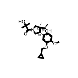 COc1ccc([C@@H]2CN(C(=O)C(C)(C)O)C[C@@]2(C)[C@@H](C)O)cc1OCC1CC1